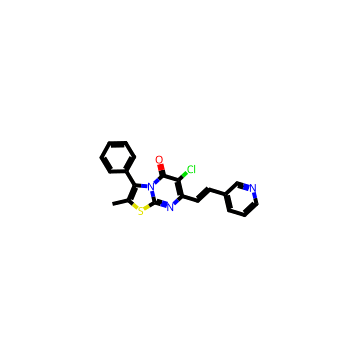 Cc1sc2nc(/C=C/c3cccnc3)c(Cl)c(=O)n2c1-c1ccccc1